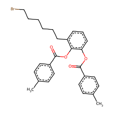 Cc1ccc(C(=O)Oc2cccc(CCCCCCBr)c2OC(=O)c2ccc(C)cc2)cc1